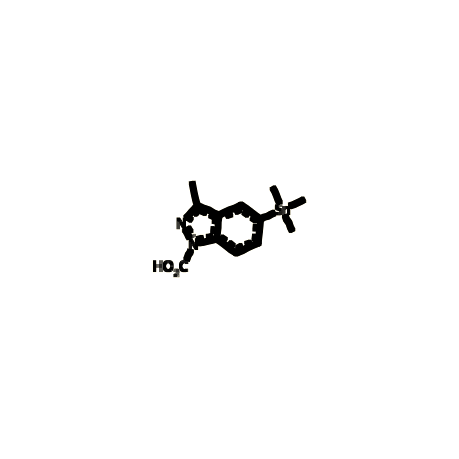 Cc1nn(C(=O)O)c2cc[c]([Sn]([CH3])([CH3])[CH3])cc12